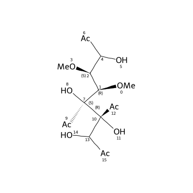 CO[C@H]([C@@H](OC)C(O)C(C)=O)[C@@](O)(C(C)=O)[C@@](O)(C(C)=O)C(O)C(C)=O